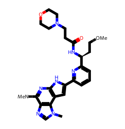 CNc1nc2[nH]c(-c3cccc([C@H](CCOC)NC(=O)CCN4CCOCC4)n3)cc2c2c1ncn2C